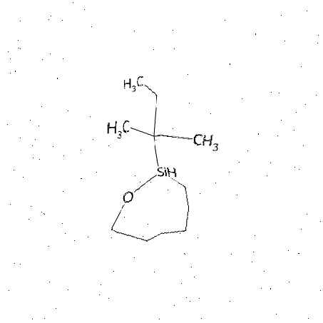 CCC(C)(C)[SiH]1CCCCO1